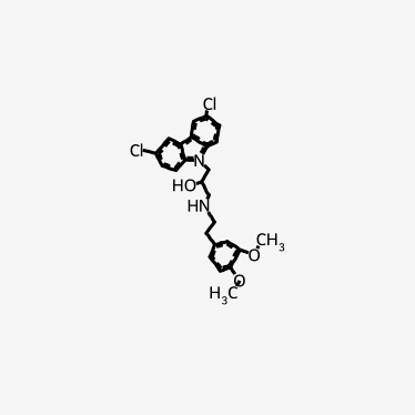 COc1ccc(CCNCC(O)Cn2c3ccc(Cl)cc3c3cc(Cl)ccc32)cc1OC